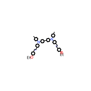 CCOc1ccc(/C=C/c2ccc(N(c3ccc(C)cc3)c3ccc(-c4ccc(N(c5ccc(C)cc5)c5ccc(/C=C/c6ccc(OCC)cc6)cc5)cc4)cc3)cc2)cc1